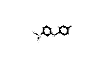 Cc1ccc(Sc2cccc([N+](=O)[O-])c2)cc1